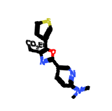 CCOC(=O)Cc1nc(-c2ccc(N(C)C)nc2)oc1-c1ccsc1